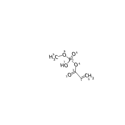 C=CC(=O)OP(=O)(O)OC